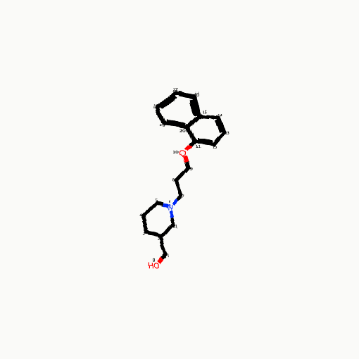 OCC1CCCN(CCCOc2cccc3ccccc23)C1